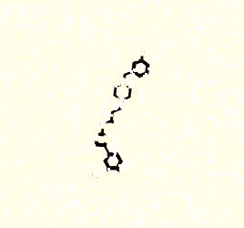 COc1cc(-c2csc(NC(=O)CCN3CCN(Cc4cccc([N+](=O)[O-])c4)CC3)n2)ccc1O